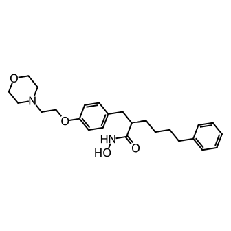 O=C(NO)[C@H](CCCCc1ccccc1)Cc1ccc(OCCN2CCOCC2)cc1